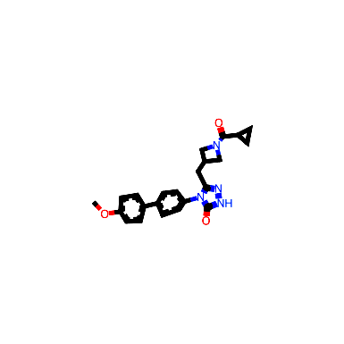 COc1ccc(-c2ccc(-n3c(CC4CN(C(=O)C5CC5)C4)n[nH]c3=O)cc2)cc1